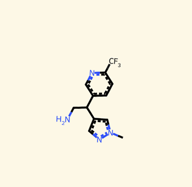 Cn1cc(C(CN)c2ccc(C(F)(F)F)nc2)cn1